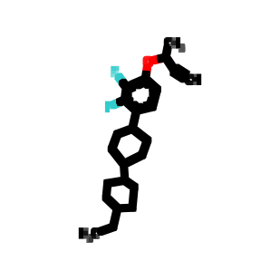 C#CC(C)Oc1ccc(C2CCC(C3CCC(CC)CC3)CC2)c(F)c1F